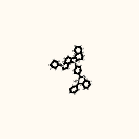 c1ccc(C2NC(c3ccc(-n4c5ccc6ccccc6c5c5ccc6c(ccn6-c6ccccc6)c54)cc3)=Nc3ccccc32)cc1